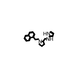 c1c[nH]c(NCC2CCCN2CCc2cccc3ccccc23)c1